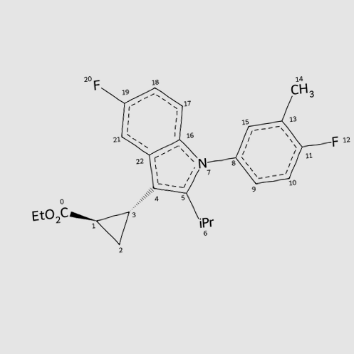 CCOC(=O)[C@@H]1C[C@H]1c1c(C(C)C)n(-c2ccc(F)c(C)c2)c2ccc(F)cc12